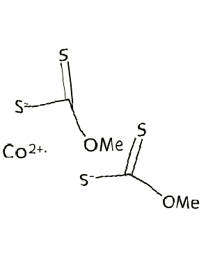 COC(=S)[S-].COC(=S)[S-].[Co+2]